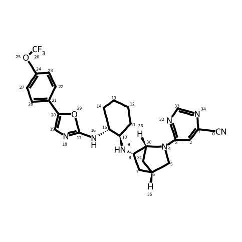 N#Cc1cc(N2C[C@@H]3C[C@H](N[C@@H]4CCCC[C@H]4Nc4ncc(-c5ccc(OC(F)(F)F)cc5)o4)[C@H]2C3)ncn1